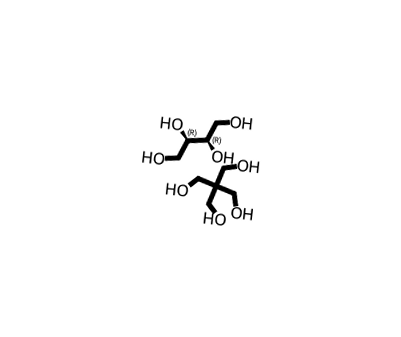 OCC(CO)(CO)CO.OC[C@@H](O)[C@H](O)CO